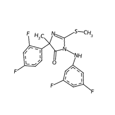 CSC1=NC(C)(c2ccc(F)cc2F)C(=O)N1Nc1cc(F)cc(F)c1